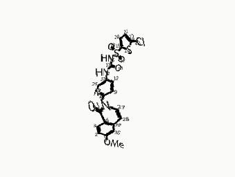 COc1ccc2c(=O)n(-c3ccc(NC(=O)NS(=O)(=O)c4ccc(Cl)s4)cn3)ccc2c1